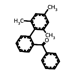 Cc1cc(C)c(-c2ccccc2C(=O)c2ccccc2)c(C)c1